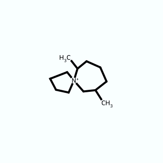 CC1CCCC(C)[N+]2(CCCC2)C1